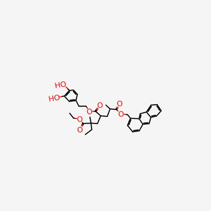 CCOC(=O)C(C)(CC)CC(CC(C)C(=O)OCc1cccc2cc3ccccc3cc12)C(=O)OCCc1ccc(O)c(O)c1